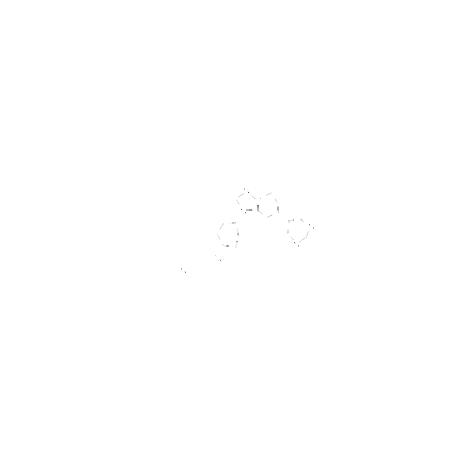 c1ncc(-c2ccc3ncn(-c4ccc(NCCN5CCOCC5)cc4)c3c2)cn1